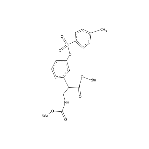 Cc1ccc(S(=O)(=O)Oc2cccc(C(CNC(=O)OC(C)(C)C)C(=O)OC(C)(C)C)c2)cc1